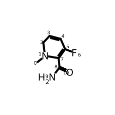 CN1CC=CC(F)=C1C(N)=O